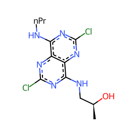 CCCNc1nc(Cl)nc2c(NC[C@H](C)O)nc(Cl)nc12